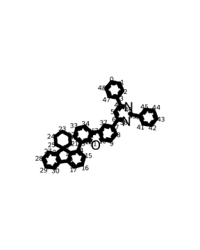 c1ccc(-c2cc(-c3ccc4oc5c(-c6cccc7c6C6(CCCCC6)c6ccccc6-7)cccc5c4c3)nc(-c3ccccc3)n2)cc1